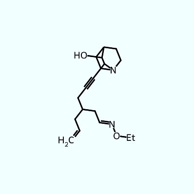 C=CCC(CC#CC1C(O)C2CCN1CC2)CC=NOCC